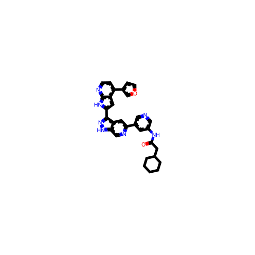 O=C(CC1CCCCC1)Nc1cncc(-c2cc3c(-c4cc5c(-c6ccoc6)ccnc5[nH]4)n[nH]c3cn2)c1